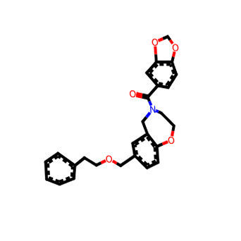 O=C(c1ccc2c(c1)OCO2)N1CCOc2ccc(COCCc3ccccc3)cc2C1